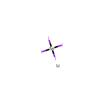 [I][Sn]([I])([I])[I].[Li]